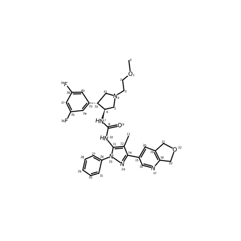 COCCN1C[C@@H](NC(=O)Nc2c(C)c(-c3cnc4c(c3)COC4)nn2-c2ccccc2)[C@H](c2cc(F)cc(F)c2)C1